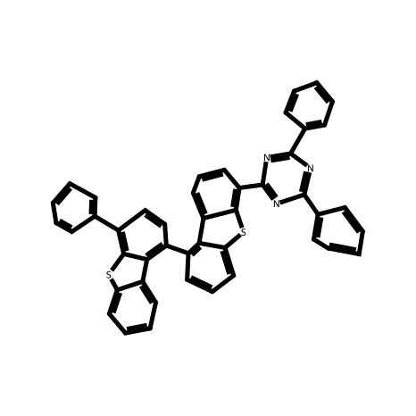 c1ccc(-c2nc(-c3ccccc3)nc(-c3cccc4c3sc3cccc(-c5ccc(-c6ccccc6)c6sc7ccccc7c56)c34)n2)cc1